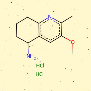 COc1cc2c(nc1C)CCCC2N.Cl.Cl